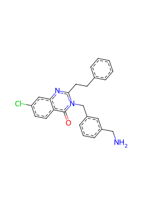 NCc1cccc(Cn2c(CCc3ccccc3)nc3cc(Cl)ccc3c2=O)c1